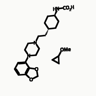 COC1CC1.O=C(O)N[C@H]1CC[C@H](CCN2CCN(c3cccc4c3OCO4)CC2)CC1